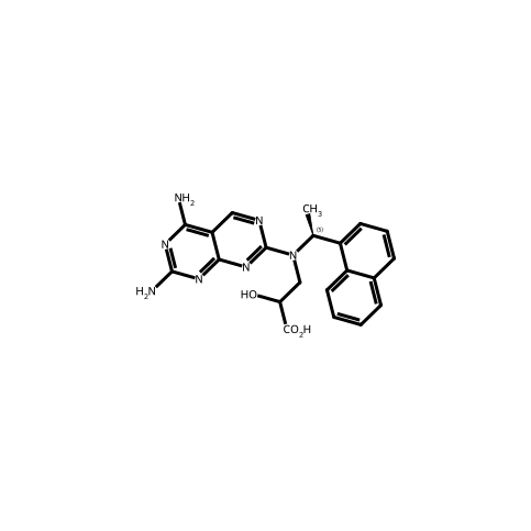 C[C@@H](c1cccc2ccccc12)N(CC(O)C(=O)O)c1ncc2c(N)nc(N)nc2n1